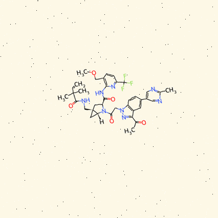 C=CC(C)(C)C(=O)NC[C@@]12C[C@@H](C(=O)Nc3nc(C(F)(F)F)ccc3COC)N(C(=O)Cn3nc(C(C)=O)c4cc(-c5cnc(C)nc5)ccc43)[C@@H]1C2